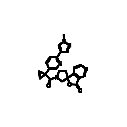 Cn1cc(-c2ccc(C3(C(=O)N4CCC5(C4)OC(=O)c4cnccc45)CC3)cn2)cn1